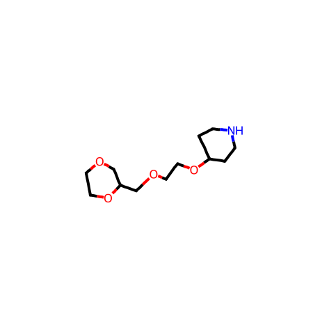 C1CC(OCCOCC2COCCO2)CCN1